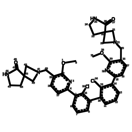 COc1nc(-c2cccc(-c3cccc(-c4ccc(CN5CC6(CCNC6=O)C5)c(OC)n4)c3Cl)c2Cl)ccc1CN1CC2(CCNC2=O)C1